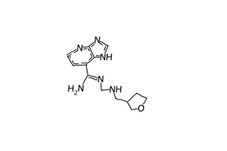 NC(=NCNCC1CCOC1)c1ccnc2nc[nH]c12